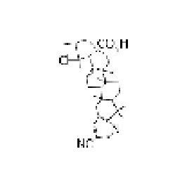 CC1CCC2(C(=O)O)CCC3(C)C(=CCC4C5(C)Cc6cc(C#N)cnc6C(C)(C)C5CCC43C)C2C1(C)Cl